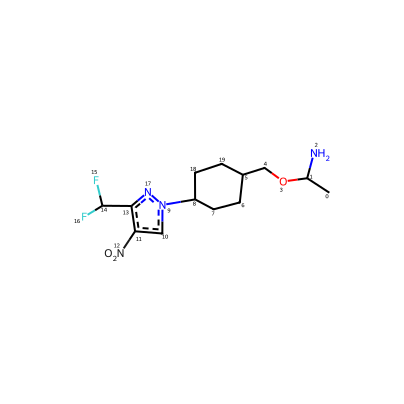 CC(N)OCC1CCC(n2cc([N+](=O)[O-])c(C(F)F)n2)CC1